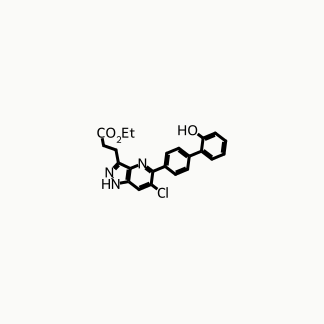 CCOC(=O)CCc1n[nH]c2cc(Cl)c(-c3ccc(-c4ccccc4O)cc3)nc12